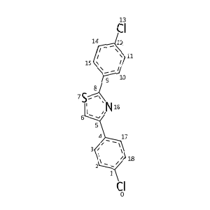 Clc1ccc(-c2csc(-c3ccc(Cl)cc3)n2)cc1